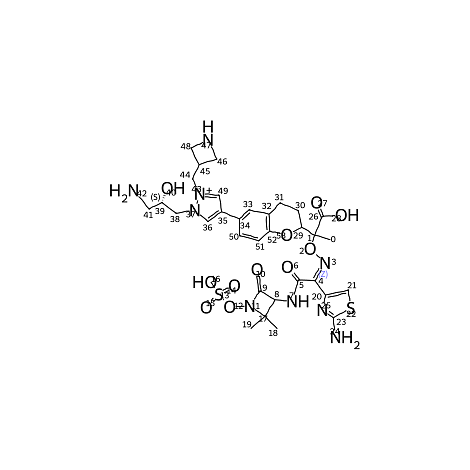 CC(O/N=C(\C(=O)NC1C(=O)N(OS(=O)(=O)O)C1(C)C)c1csc(N)n1)(C(=O)O)C1CCc2cc(-c3cn(C[C@@H](O)CN)[n+](CC4CNC4)c3)ccc2O1